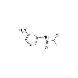 CC(Cl)C(=O)Nc1cccc(N)c1